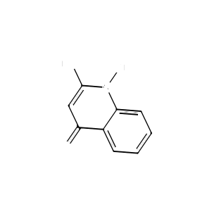 Cn1c(O)cc(=O)c2ccccc21